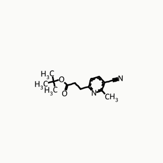 Cc1nc(CCC(=O)OC(C)(C)C)ccc1C#N